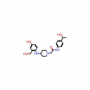 CC(O)c1ccc(NC(=O)CN2CCC(Nc3ccc(O)cc3CO)CC2)cc1